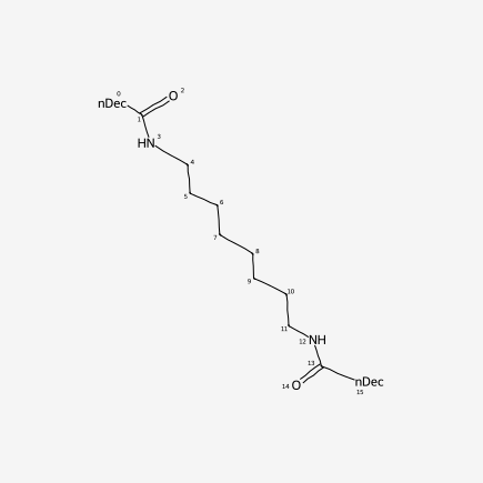 CCCCCCCCCCC(=O)NCCCCCCCCNC(=O)CCCCCCCCCC